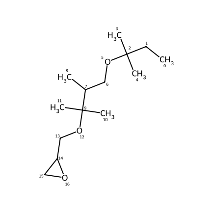 CCC(C)(C)OCC(C)C(C)(C)OCC1CO1